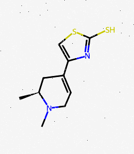 C[C@H]1CC(c2csc(S)n2)=CCN1C